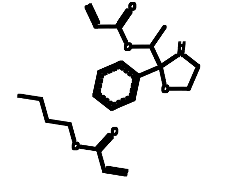 C=CC(=O)OC(C)C1(c2ccccc2)NCCO1.C=CC(=O)OCCCC